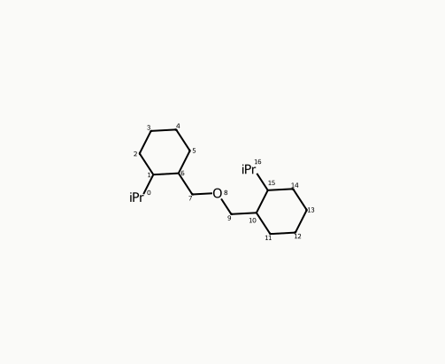 CC(C)C1CCCCC1COCC1CCCCC1C(C)C